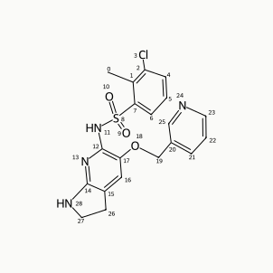 Cc1c(Cl)cccc1S(=O)(=O)Nc1nc2c(cc1OCc1cccnc1)CCN2